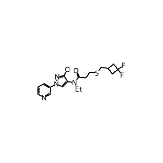 CCN(C(=O)CCSCC1CC(F)(F)C1)c1cn(-c2cccnc2)nc1Cl